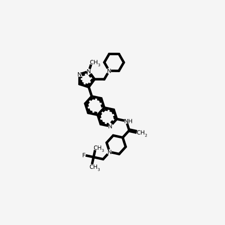 C=C(Nc1cc2cc(-c3cnn(C)c3CN3CCCCC3)ccc2cn1)C1CCN(CC(C)(C)F)CC1